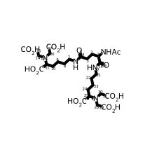 CC(=O)NC(CCC(=O)NCCCCC(C(=O)O)N(CC(=O)O)CC(=O)O)C(=O)NCCCCC(C(=O)O)N(CC(=O)O)CC(=O)O